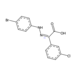 O=C(O)/C(=N\Nc1ccc(Br)cc1)c1cccc(Cl)c1